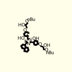 CCCCOCC(O)COc1ccc(-c2nc(-c3ccc(OCC(O)COCCCC)cc3O)nc(-c3cccc4ccccc34)n2)c(O)c1